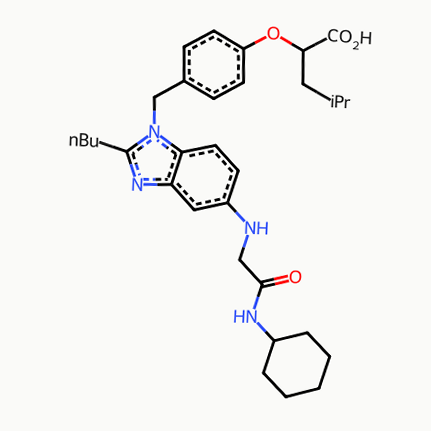 CCCCc1nc2cc(NCC(=O)NC3CCCCC3)ccc2n1Cc1ccc(OC(CC(C)C)C(=O)O)cc1